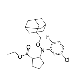 CCOC(=O)C1CCCC1N(OCC12CC3CC(CC(C3)C1)C2)c1cc(Cl)ccc1F